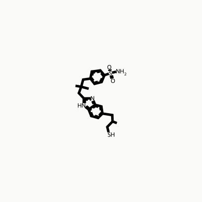 CC(CS)Cc1ccc2[nH]c(CC(C)(C)Cc3ccc(S(N)(=O)=O)cc3)nc2c1